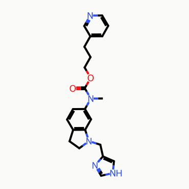 CN(C(=O)OCCCc1cccnc1)c1ccc2c(c1)N(Cc1c[nH]cn1)CC2